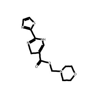 O=C(OCN1CCOCC1)C1=CNC(c2nccs2)=NC1